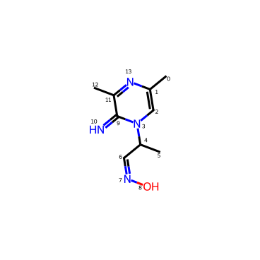 Cc1cn(C(C)/C=N\O)c(=N)c(C)n1